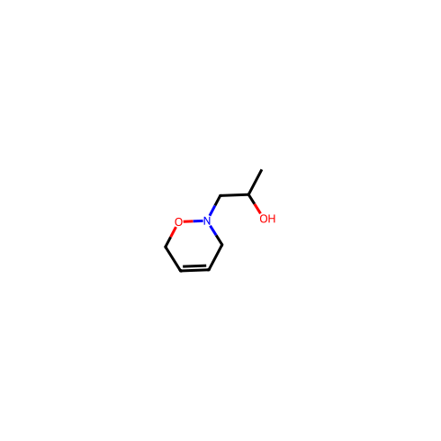 CC(O)CN1CC=CCO1